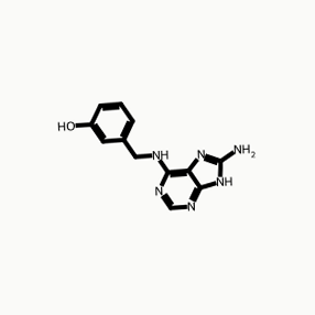 Nc1nc2c(NCc3cccc(O)c3)ncnc2[nH]1